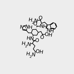 NC(=O)C(CC1CNc2ccccc21)NC(=O)[C@H]1CC(Cc2cnc[nH]2)C(NC(=O)C(N)CCC(N)O)CC1CC(=O)O